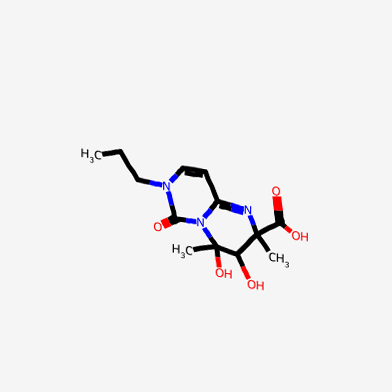 CCCN1C=CC2=NC(C)(C(=O)O)C(O)C(C)(O)N2C1=O